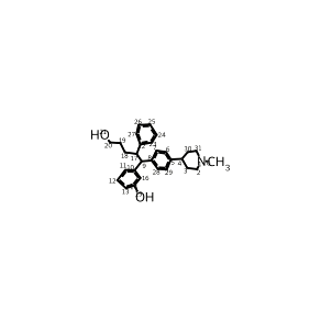 CN1CCC(c2ccc(C(c3cccc(O)c3)C(CCCO)c3ccccc3)cc2)CC1